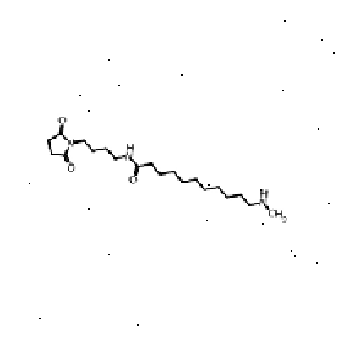 CNCCCCCCCCCCC(=O)NCCCCN1C(=O)CCC1=O